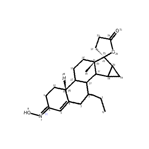 CCC1CC2=C/C(=N/O)CC[C@@H]2C2CC[C@@]3(C)C(C4CC4[C@@]34CCC(=O)O4)C12